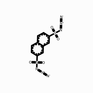 [N-]=[N+]=NS(=O)(=O)c1ccc2ccc(S(=O)(=O)N=[N+]=[N-])cc2c1